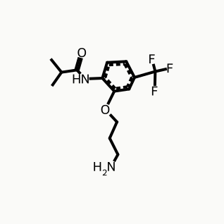 CC(C)C(=O)Nc1ccc(C(F)(F)F)cc1OCCCN